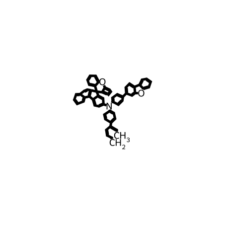 C=C/C=C\C(=C/C)c1ccc(N(c2ccc(-c3ccc4c(c3)oc3ccccc34)cc2)c2ccc3c(c2)C2(c4ccccc4Oc4ccccc42)c2ccc4ccccc4c2-3)cc1